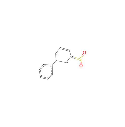 O=S(=O)=C1[CH]C(c2[c]cccc2)=CC=C1